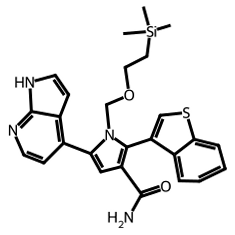 C[Si](C)(C)CCOCn1c(-c2ccnc3[nH]ccc23)cc(C(N)=O)c1-c1csc2ccccc12